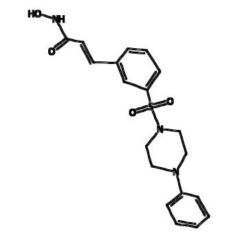 O=C(C=Cc1cccc(S(=O)(=O)N2CCN(c3ccccc3)CC2)c1)NO